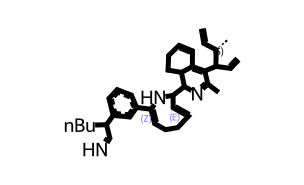 C=CC(C1=C2C=CCCC2C(C2/C=C/CC/C=C(/c3cccc(C(C=N)CCCC)c3)N2)N=C1C)[C@@H](C)C=C